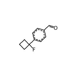 O=Cc1ccc(C2(F)CCC2)cc1